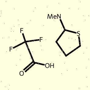 CNC1CCCS1.O=C(O)C(F)(F)F